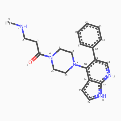 CC(C)NCCC(=O)N1CCN(c2c(-c3ccccc3)cnc3[nH]ccc23)CC1